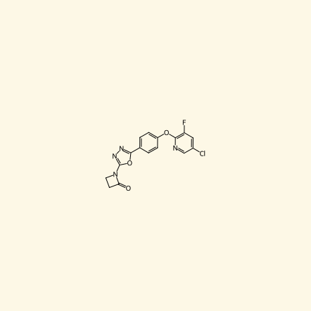 O=C1CCN1c1nnc(-c2ccc(Oc3ncc(Cl)cc3F)cc2)o1